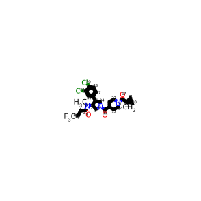 CN(C(=O)CCC(F)(F)F)C1CN(C(=O)C2CCN(C(=O)C3(C)CC3)CC2)CC1c1ccc(Cl)c(Cl)c1